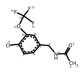 CC(=O)NCc1ccc(Cl)c(OC(F)(F)F)c1